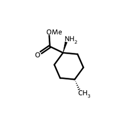 COC(=O)[C@]1(N)CC[C@H](C)CC1